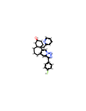 O=C1CCC2(Cc3ccccn3)c3cn4nnc(-c5ccc(F)cc5)c4cc3CCCC2C1